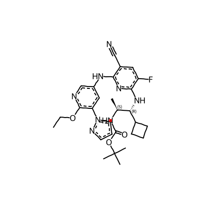 CCOc1ncc(Nc2nc(N[C@H](C3CCC3)[C@H](C)NC(=O)OC(C)(C)C)c(F)cc2C#N)cc1-n1cccn1